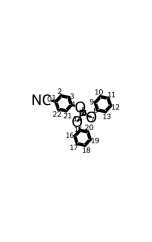 N#Cc1ccc(OP(Oc2ccccc2)Oc2ccccc2)cc1